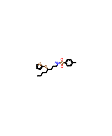 CCCCC(CCCNS(=O)(=O)c1ccc(C)cc1)Sc1cccs1